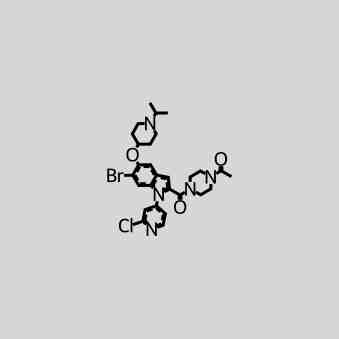 CC(=O)N1CCN(C(=O)c2cc3cc(OC4CCN(C(C)C)CC4)c(Br)cc3n2-c2ccnc(Cl)c2)CC1